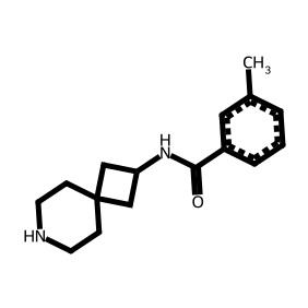 Cc1cccc(C(=O)NC2CC3(CCNCC3)C2)c1